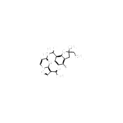 CC(Nc1ccn2ncc(C(=O)O)c2n1)c1ccc(F)c2c1OC(C)(CN)C2